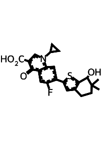 CC1(C)CCc2cc(-c3cc4c(cc3F)c(=O)c(C(=O)O)cn4C3CC3)sc2C1O